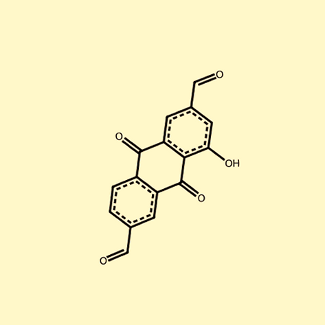 O=Cc1ccc2c(c1)C(=O)c1c(O)cc(C=O)cc1C2=O